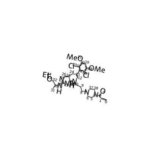 C=CC(=O)N1CCN(CCCN2C=C(c3c(Cl)c(OC)cc(OC)c3Cl)CC3=CN=C(NC(C)COCC)N[C@H]32)CC1